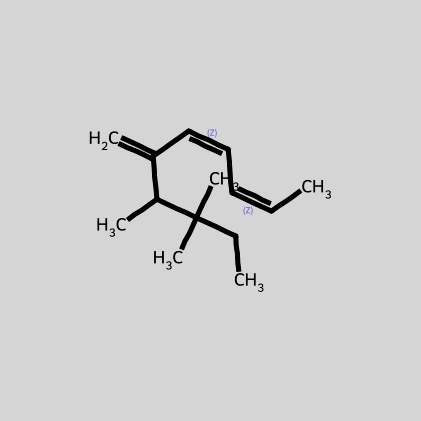 C=C(/C=C\C=C/C)C(C)C(C)(C)CC